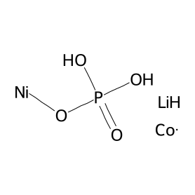 O=P(O)(O)[O][Ni].[Co].[LiH]